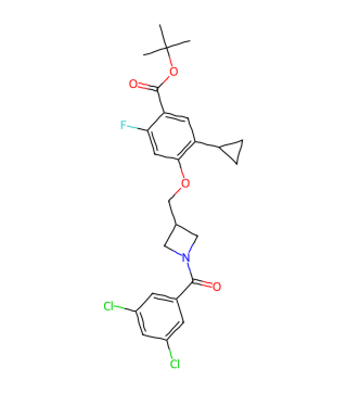 CC(C)(C)OC(=O)c1cc(C2CC2)c(OCC2CN(C(=O)c3cc(Cl)cc(Cl)c3)C2)cc1F